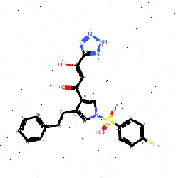 O=C(C=C(O)c1nn[nH]n1)c1cn(S(=O)(=O)c2ccc(F)cc2)cc1CCc1ccccc1